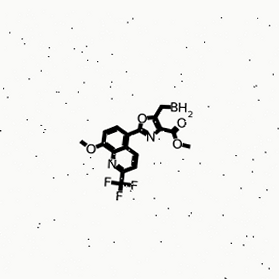 BCc1oc(-c2ccc(OC)c3nc(C(F)(F)F)ccc23)nc1C(=O)OC